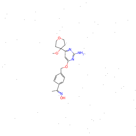 COC1(c2cc(OCc3ccc(C(C)=NO)cc3)nc(N)n2)CCOCC1